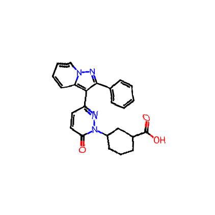 O=C(O)C1CCCC(n2nc(-c3c(-c4ccccc4)nn4ccccc34)ccc2=O)C1